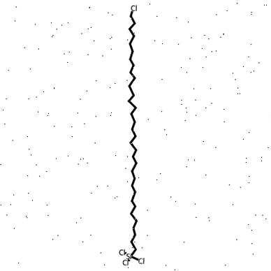 ClCCCCCCCCCCCCCCCCCCCCCCCCCCCCCCCCCC[Si](Cl)(Cl)Cl